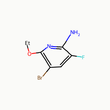 CCOc1nc(N)c(F)cc1Br